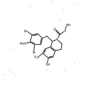 COc1c(Br)cc(CC2c3cc([N+](=O)[O-])c(O)cc3CCN2C(=O)OC(C)(C)C)cc1Br